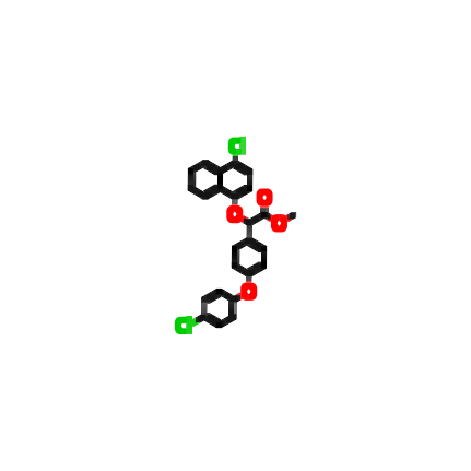 COC(=O)C(Oc1ccc(Cl)c2ccccc12)c1ccc(Oc2ccc(Cl)cc2)cc1